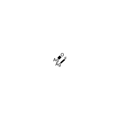 [F][Ag].[O]=[Ag]